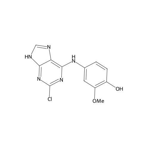 COc1cc(Nc2nc(Cl)nc3[nH]cnc23)ccc1O